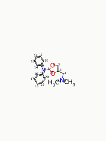 CN(C)CC1=COC(N(c2ccccc2)c2ccccc2)O1